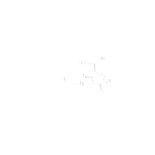 CCn1cc2c(=O)[nH]nc(C(C)C)c2n1